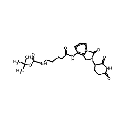 CC(C)(C)OC(=O)NCCOCC(=O)Nc1cccc2c1CN(C1CCC(=O)NC1=O)C2=O